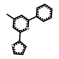 Cc1cc(-c2ccccc2)nc(-c2cccs2)c1